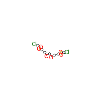 O=C(c1ccc(-c2ccc(S(=O)(=O)c3ccc(Cl)cc3)cc2)cc1)c1cccc(C(=O)c2ccc(-c3ccc(S(=O)(=O)c4ccc(Cl)cc4)cc3)cc2)c1